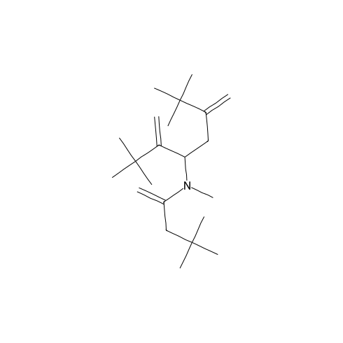 C=C(CC(C)(C)C)N(C)C(CC(=C)C(C)(C)C)C(=C)C(C)(C)C